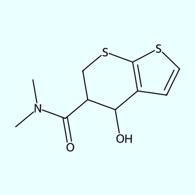 CN(C)C(=O)C1CSc2sccc2C1O